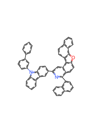 c1ccc(-c2cccc(-n3c4ccccc4c4cc(-c5cc6c(ccc7oc8c9ccccc9ccc8c76)c(-c6cccc7ccccc67)n5)ccc43)c2)cc1